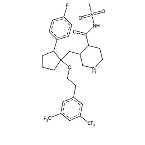 CS(=O)(=O)NC(=O)C1CCNCC1CC1(OCCc2cc(C(F)(F)F)cc(C(F)(F)F)c2)CCCC1c1ccc(F)cc1